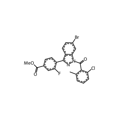 COC(=O)c1ccc(-c2nn(C(=O)c3c(C)cccc3Cl)c3cc(Br)ccc23)c(F)c1